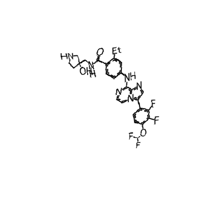 CCc1cc(Nc2nccn3c(-c4ccc(OC(F)F)c(F)c4F)cnc23)ccc1C(=O)NCC1(O)CCNC1